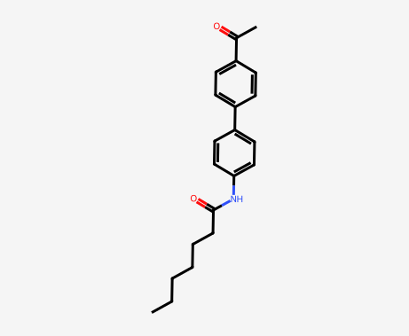 CCCCCCC(=O)Nc1ccc(-c2ccc(C(C)=O)cc2)cc1